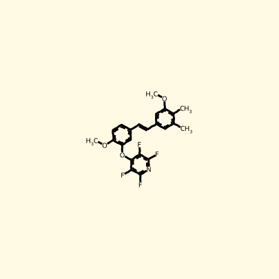 COc1ccc(C=Cc2cc(C)c(C)c(OC)c2)cc1Oc1c(F)c(F)nc(F)c1F